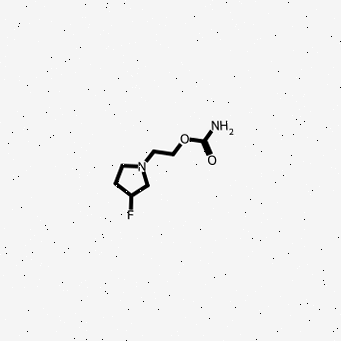 NC(=O)OCCN1CCC(F)C1